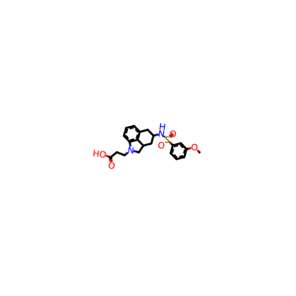 COc1cccc(S(=O)(=O)NC2Cc3cccc4c3C(C2)CN4CCC(=O)O)c1